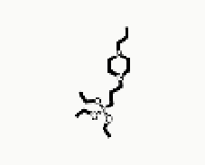 CCCN1CCN(CCC[Si](OCC)(OCC)OCC)CC1